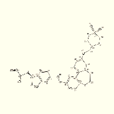 COC(=O)C[C@@H]1COc2cc(OCc3ccc4c(c3)-c3ccc(OCC5CCS(=O)(=O)CC5)cc3CCC4)ccc21